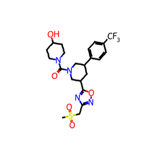 CS(=O)(=O)Cc1noc(C2CC(c3ccc(C(F)(F)F)cc3)CN(C(=O)N3CCC(O)CC3)C2)n1